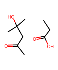 CC(=O)CC(C)(C)O.CCC(=O)O